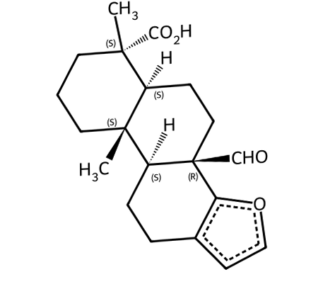 C[C@@]12CCC[C@](C)(C(=O)O)[C@H]1CC[C@]1(C=O)c3occc3CC[C@@H]21